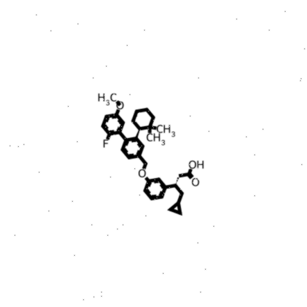 COc1ccc(F)c(-c2ccc(COc3cccc([C@H](CC(=O)O)CC4CC4)c3)cc2[C@H]2CCCCC2(C)C)c1